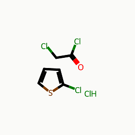 Cl.Clc1cccs1.O=C(Cl)CCl